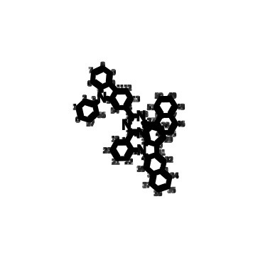 c1ccc(-n2c3ccccc3c3ccc(-c4nc(-c5ccccc5-n5c6ccccc6c6cc7ccccc7cc65)nc(-c5cccc6ccccc56)n4)cc32)cc1